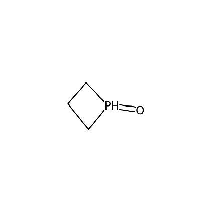 O=[PH]1CCC1